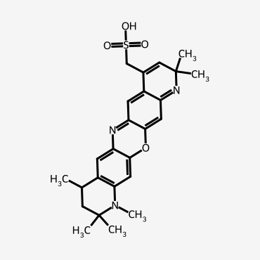 CC1CC(C)(C)N(C)c2cc3c(cc21)N=c1cc2c(cc1O3)=NC(C)(C)C=C2CS(=O)(=O)O